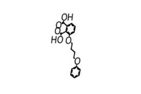 O=C(O)c1cccc(OCCCCOc2ccccc2)c1C(=O)O